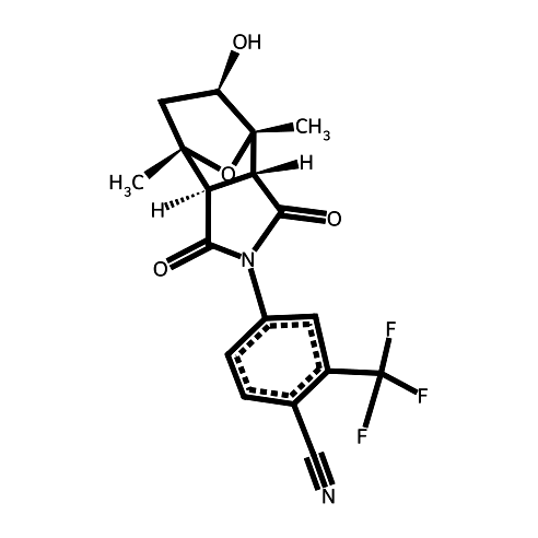 C[C@@]12O[C@@](C)(C[C@H]1O)[C@@H]1C(=O)N(c3ccc(C#N)c(C(F)(F)F)c3)C(=O)[C@H]12